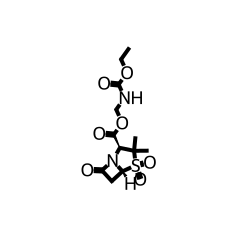 CCOC(=O)NCOC(=O)[C@@H]1N2C(=O)C[C@H]2S(=O)(=O)C1(C)C